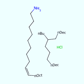 CCCCCCCC/C=C\CCCCCCCCN.CCCCCCCCCCCCCC(CCCC)CCCCCCCCCCC.Cl